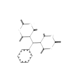 O=C1NC(=O)C(C(c2ccccc2)C2C(=O)NC(=O)NC2=O)C(=O)N1